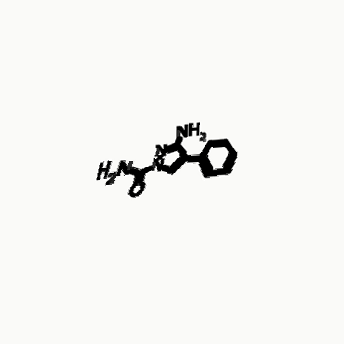 NC(=O)n1cc(-c2ccccc2)c(N)n1